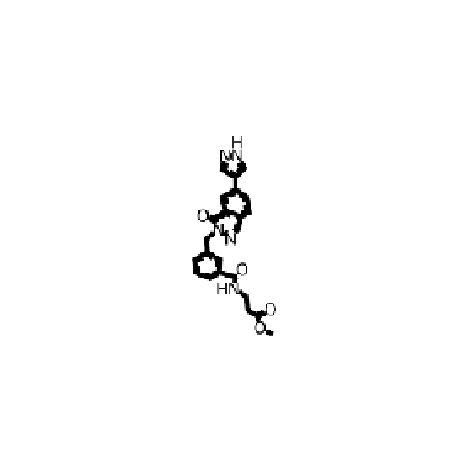 COC(=O)CCNC(=O)c1cccc(Cn2ncc3ccc(-c4cn[nH]c4)cc3c2=O)c1